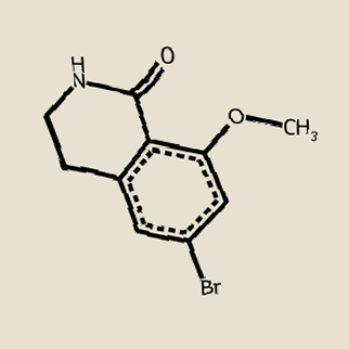 COc1cc(Br)cc2c1C(=O)NCC2